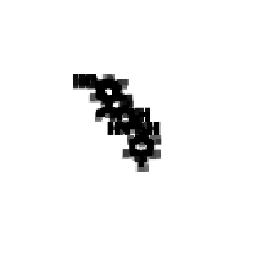 Cc1nc(NC(=N)NC2CCN(C)CC2)nc2ccc(O)cc12